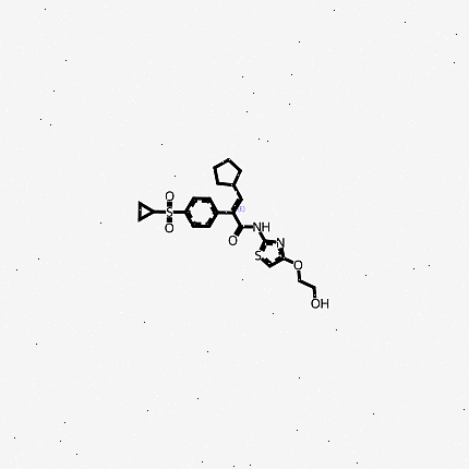 O=C(Nc1nc(OCCO)cs1)/C(=C/C1CCCC1)c1ccc(S(=O)(=O)C2CC2)cc1